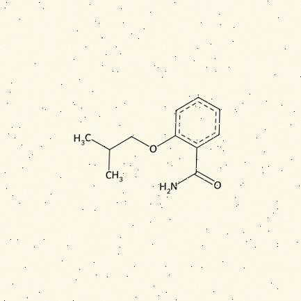 CC(C)COc1c[c]ccc1C(N)=O